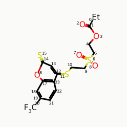 CCC(=O)OCCS(=O)(=O)CCSc1cc(=S)oc2cc(C(F)(F)F)ccc12